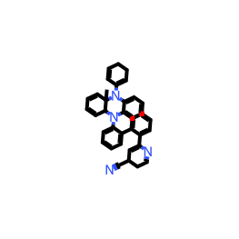 CC12C=CC=CC1N(c1ccccc1-c1ccccc1C1=CC(C#N)CC=N1)c1ccccc1N2C1=CCCC=C1